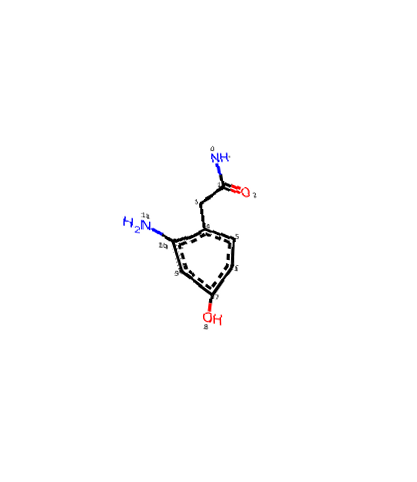 [NH]C(=O)Cc1ccc(O)cc1N